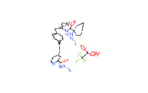 N#C[C@H](Cc1ccc(-c2ccnc(C(N)=O)c2)cc1)NC(=O)C1(N)CCCCC1.O=C(O)C(F)(F)F